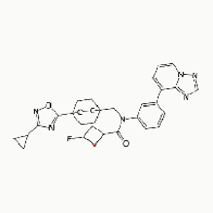 O=C(N(CC12CCC(c3nc(C4CC4)no3)(CC1)CC2)c1cccc(-c2cccn3ncnc23)c1)C12CC(F)(C1)C2